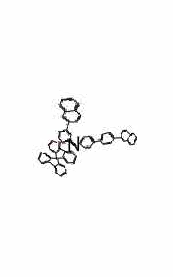 c1cc(-c2ccc3ccccc3c2)cc(N(c2ccc(-c3ccc(-c4ccc5ccccc5c4)cc3)cc2)c2cccc3c2-c2ccccc2C32c3ccccc3-c3ccccc32)c1